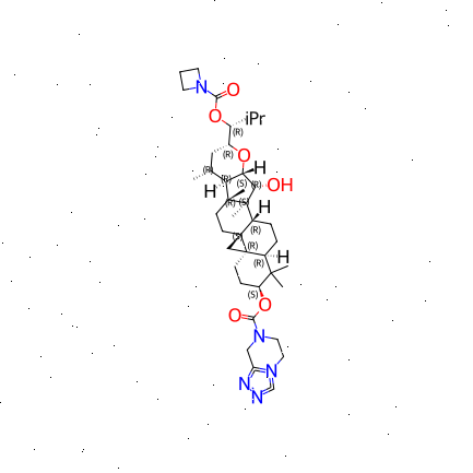 CC(C)[C@@H](OC(=O)N1CCC1)[C@H]1C[C@@H](C)[C@H]2[C@H](O1)[C@H](O)[C@@]1(C)[C@@H]3CC[C@H]4C(C)(C)[C@@H](OC(=O)N5CCn6cnnc6C5)CC[C@@]45C[C@@]35CC[C@]21C